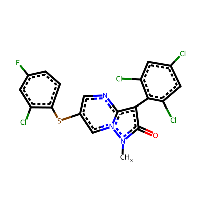 Cn1c(=O)c(-c2c(Cl)cc(Cl)cc2Cl)c2ncc(Sc3ccc(F)cc3Cl)cn21